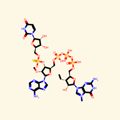 CC[C@H]1[C@@H](O)[C@H](n2c[n+](C)c3c(=O)[nH]c(N)nc32)O[C@@H]1COP(=O)(O)OP(=O)(O)OP(=O)(O)OC[C@H]1O[C@@H](n2cnc3c(N)ncnc32)[C@H](OC)[C@@H]1OP([O-])(=S)OC[C@H]1O[C@@H](n2ccc(=O)[nH]c2=O)[C@H](O)[C@@H]1O